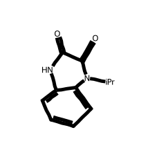 CC(C)n1c(=O)c(=O)[nH]c2ccccc21